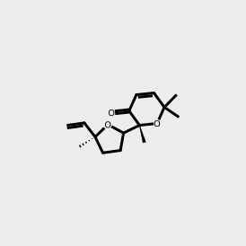 C=C[C@]1(C)CCC([C@@]2(C)OC(C)(C)C=CC2=O)O1